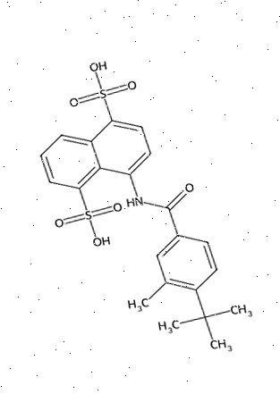 Cc1cc(C(=O)Nc2ccc(S(=O)(=O)O)c3cccc(S(=O)(=O)O)c23)ccc1C(C)(C)C